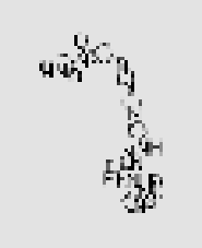 CN(c1ncccc1CNc1nc(Nc2ccc(N3CCC(N4CCN(Cc5ccc6c(c5)CN(C5CCC(=O)NC5=O)C6=O)CC4)CC3)cc2)ncc1C(F)(F)F)S(C)(=O)=O